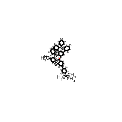 Cc1cc2c3c(c1)N(c1c(C)cccc1C)c1cc4c(cc1/C(=C/C3)c1ccc(-c3ccc([Si](C)(C)C)cc3)cc1S2)-c1ccccc1[Si]4(c1ccccc1)c1ccccc1